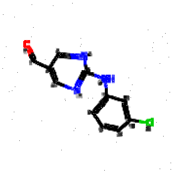 O=Cc1cnc(Nc2cccc(Cl)c2)nc1